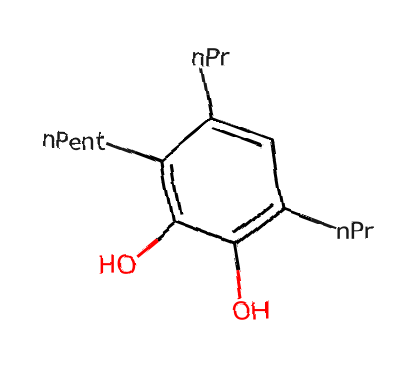 CCCCCc1c(CCC)cc(CCC)c(O)c1O